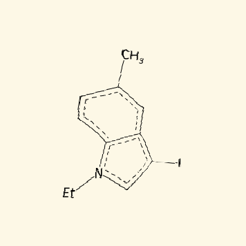 CCn1cc(I)c2cc(C)ccc21